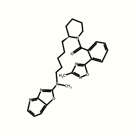 Cc1noc(-c2ccccc2C(=O)N2CCCC[C@@H]2CCCCCN(C)c2nc3ncccc3o2)n1